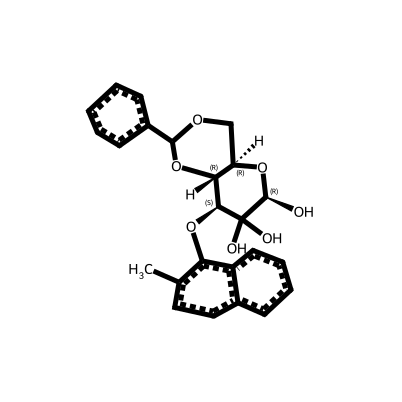 Cc1ccc2ccccc2c1O[C@H]1[C@@H]2OC(c3ccccc3)OC[C@H]2O[C@@H](O)C1(O)O